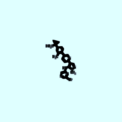 Cc1cc(C2(C(=O)O)CC2)ccc1-c1ccc(-c2cnn(C)c2Nc2cncc(C(C)C)n2)nc1